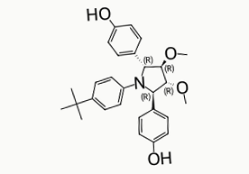 CO[C@H]1[C@H](OC)[C@@H](c2ccc(O)cc2)N(c2ccc(C(C)(C)C)cc2)[C@@H]1c1ccc(O)cc1